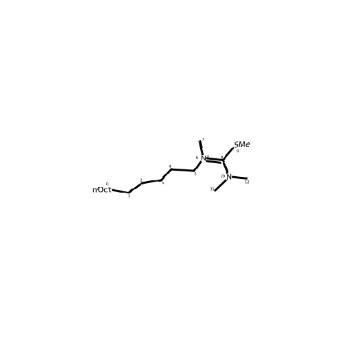 CCCCCCCCCCCCC/[N+](C)=C(/SC)N(C)C